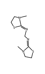 CN1CCSC1=NCN=C1SCCN1C